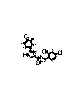 O=C(NCc1ccc(Cl)cc1Cl)c1c[nH]c(-c2ccc(Cl)cc2)n1